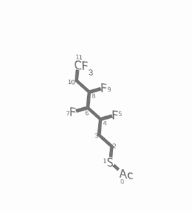 CC(=O)SCCC(F)C(F)C(F)CC(F)(F)F